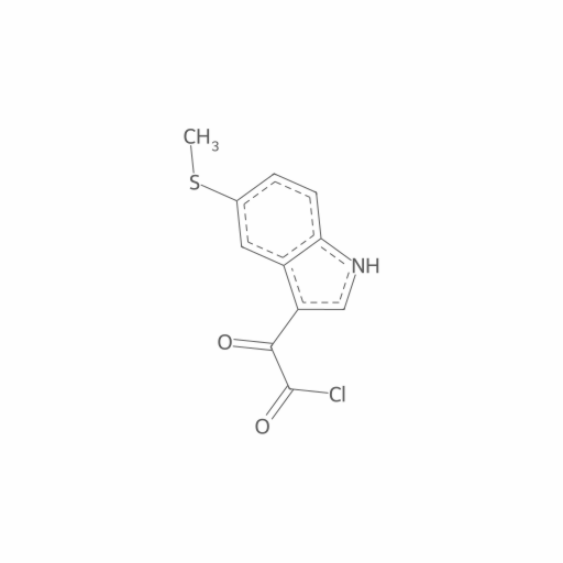 CSc1ccc2[nH]cc(C(=O)C(=O)Cl)c2c1